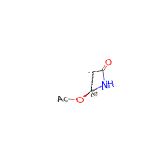 CC(=O)O[C@H]1[CH]C(=O)N1